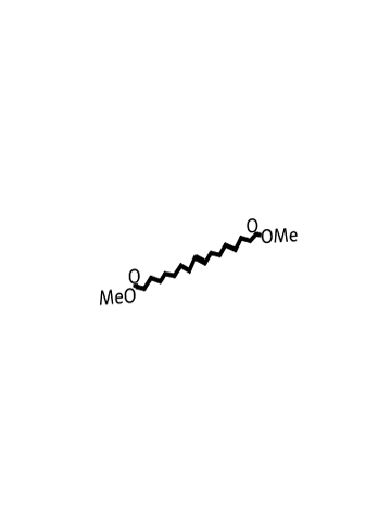 COC(=O)CCCCCC/C=C/CCCCCCCC(=O)OC